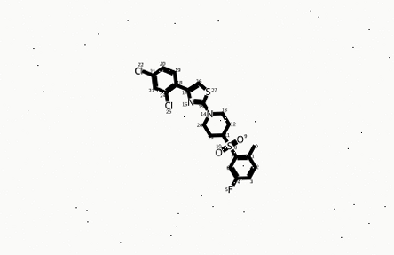 Cc1ccc(F)cc1S(=O)(=O)C1CCN(c2nc(-c3ccc(Cl)cc3Cl)cs2)CC1